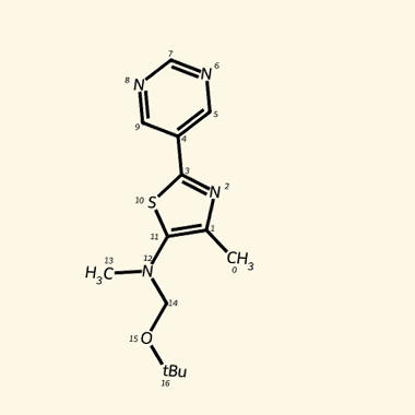 Cc1nc(-c2cncnc2)sc1N(C)COC(C)(C)C